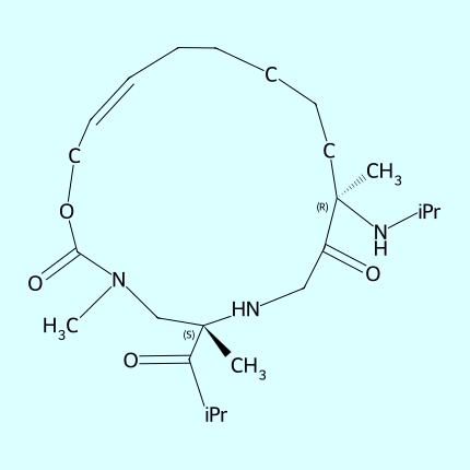 CC(C)N[C@]1(C)CCCCCC=CCOC(=O)N(C)C[C@@](C)(C(=O)C(C)C)NCC1=O